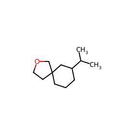 CC(C)C1CCCC2(CCOC2)C1